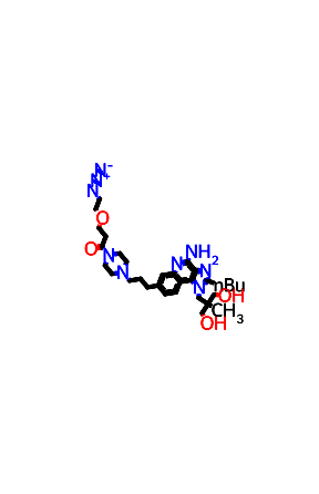 CCCCc1nc2c(N)nc3cc(CCCN4CCN(C(=O)CCOCCN=[N+]=[N-])CC4)ccc3c2n1CC(C)(CO)CO